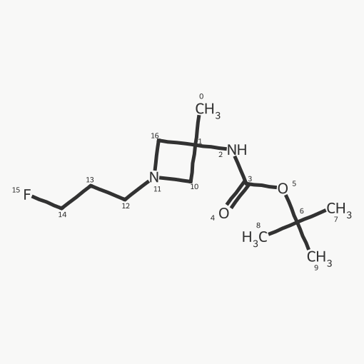 CC1(NC(=O)OC(C)(C)C)CN(CCCF)C1